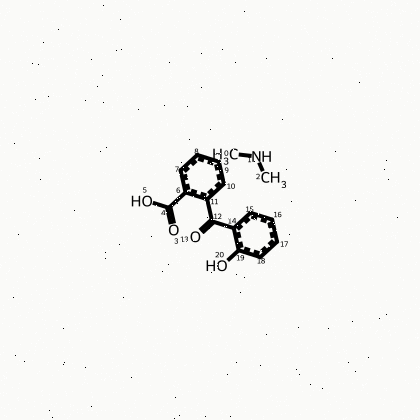 CNC.O=C(O)c1ccccc1C(=O)c1ccccc1O